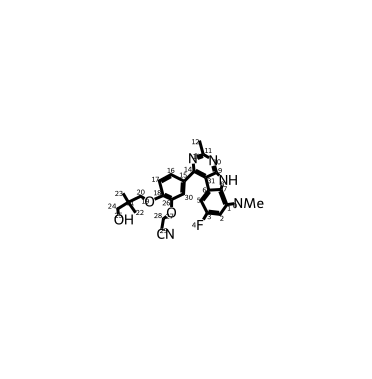 CNc1cc(F)cc2c1[nH]c1nc(C)nc(-c3ccc(OCC(C)(C)CO)c(OCC#N)c3)c12